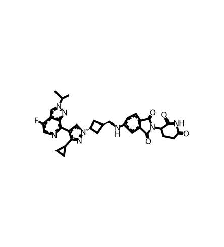 CC(C)n1cc2c(F)cnc(-c3cn([C@H]4C[C@H](CNc5ccc6c(c5)C(=O)N(C5CCC(=O)NC5=O)C6=O)C4)nc3C3CC3)c2n1